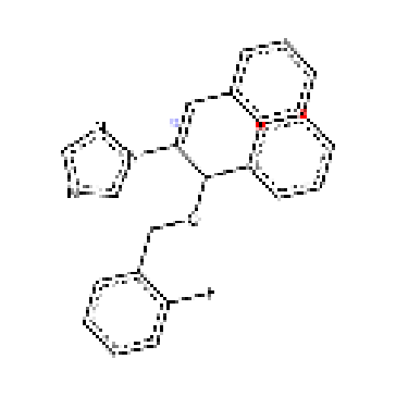 Fc1ccccc1COC(/C(=C\c1ccccc1)n1cncn1)c1ccccc1